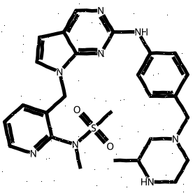 CC1CN(Cc2ccc(Nc3ncc4ccn(Cc5cccnc5N(C)S(C)(=O)=O)c4n3)cc2)CCN1